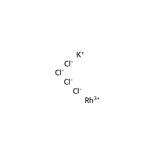 [Cl-].[Cl-].[Cl-].[Cl-].[K+].[Rh+3]